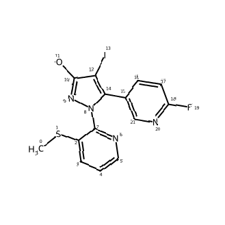 CSc1cccnc1-n1nc([O])c(I)c1-c1ccc(F)nc1